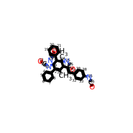 CC1=C(c2ccccc2)C(N=C=O)(N=C=O)C(c2ccccc2)C(C)(N=C=O)C1C=Cc1ccc(N=C=O)cc1